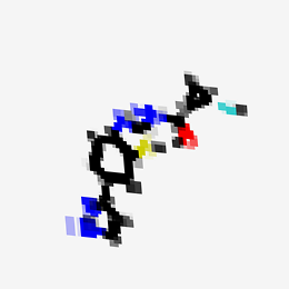 O=C(Nc1nc2ccc(-c3cc[nH]n3)cc2s1)[C@@H]1C[C@@H]1F